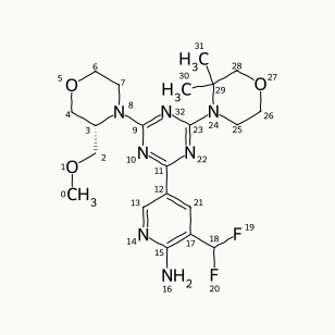 COC[C@@H]1COCCN1c1nc(-c2cnc(N)c(C(F)F)c2)nc(N2CCOCC2(C)C)n1